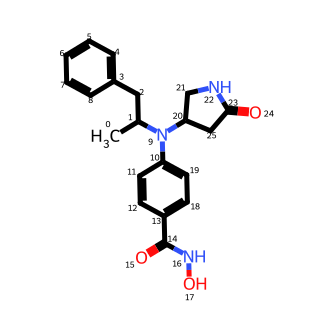 CC(Cc1ccccc1)N(c1ccc(C(=O)NO)cc1)C1CNC(=O)C1